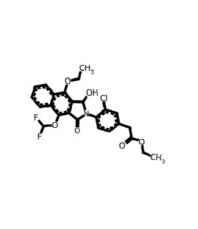 CCOC(=O)Cc1ccc(N2C(=O)c3c(c(OCC)c4ccccc4c3OC(F)F)C2O)c(Cl)c1